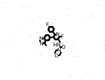 Cc1ncnc2ccc(-c3cc(CNC(=O)N4CCOCC4)c(F)nc3-c3ccc(F)cc3)cc12